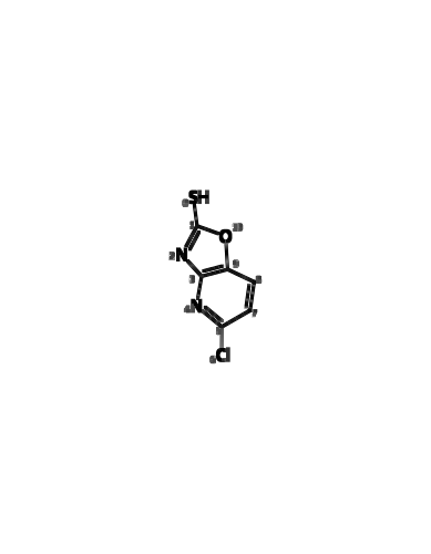 Sc1nc2nc(Cl)ccc2o1